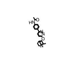 CC(=O)Nc1ccc(-c2ccc(OC3C4CCN(CC4)C3C)nn2)cc1